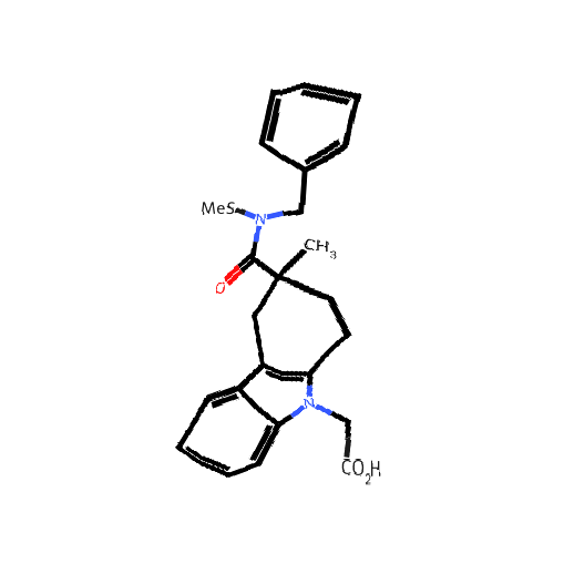 CSN(Cc1ccccc1)C(=O)C1(C)CCc2c(c3ccccc3n2CC(=O)O)C1